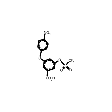 O=C(O)c1cc(Oc2ccc([N+](=O)[O-])cc2)cc(OS(=O)(=O)C(F)(F)F)c1